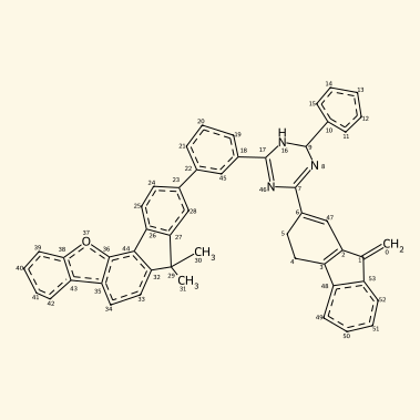 C=C1C2=C(CCC(C3=NC(c4ccccc4)NC(c4cccc(-c5ccc6c(c5)C(C)(C)c5ccc7c(oc8ccccc87)c5-6)c4)=N3)=C2)c2ccccc21